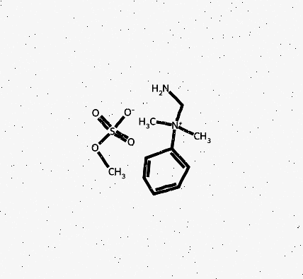 COS(=O)(=O)[O-].C[N+](C)(CN)c1ccccc1